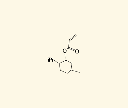 C=CC(=O)O[C@@H]1CC(C)CCC1C(C)C